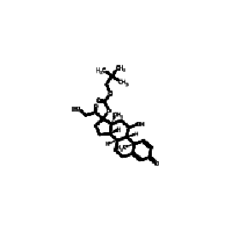 CC(C)(C)COC(=O)O[C@]1(C(=O)CO)CC[C@H]2[C@@H]3CCC4=CC(=O)C=C[C@]4(C)[C@H]3C(O)C[C@@]21C